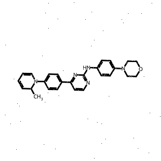 CC1C=CC=CN1c1ccc(-c2ccnc(Nc3ccc(N4CCOCC4)cc3)n2)cc1